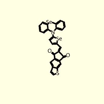 O=C1/C(=C\c2ccc(N3c4ccccc4[Se]c4ccccc43)[se]2)C(=O)c2cc3sccc3cc21